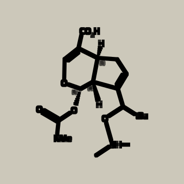 CNC(=O)O[C@@H]1OC=C(C(=O)O)[C@H]2CC=C(C(O[SiH](C)C)C(C)(C)C)[C@H]12